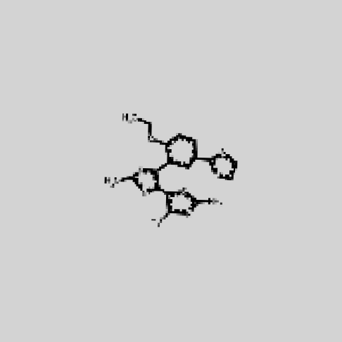 CCOc1ccc(-c2ncco2)cc1-c1sc(N)nc1-c1sc(N)nc1C